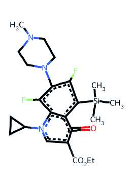 CCOC(=O)c1cn(C2CC2)c2c(F)c(N3CCN(C)CC3)c(F)c([Si](C)(C)C)c2c1=O